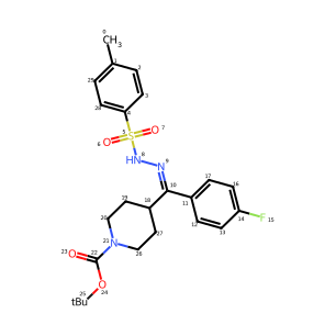 Cc1ccc(S(=O)(=O)NN=C(c2ccc(F)cc2)C2CCN(C(=O)OC(C)(C)C)CC2)cc1